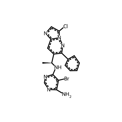 C[C@H](Nc1ncnc(N)c1Br)c1cc2ncc(Cl)n2nc1-c1ccccc1